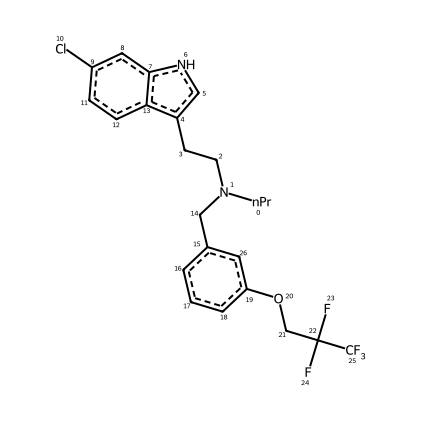 CCCN(CCc1c[nH]c2cc(Cl)ccc12)Cc1cccc(OCC(F)(F)C(F)(F)F)c1